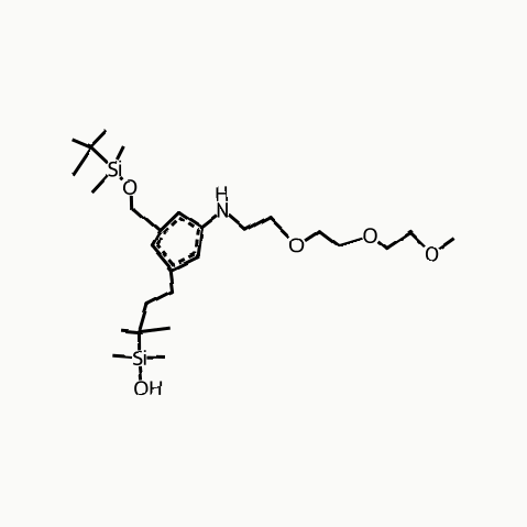 COCCOCCOCCNc1cc(CCC(C)(C)[Si](C)(C)O)cc(CO[Si](C)(C)C(C)(C)C)c1